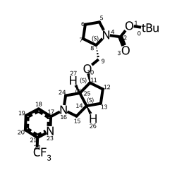 CC(C)(C)OC(=O)N1CCC[C@H]1CO[C@H]1CC[C@@H]2CN(c3cccc(C(F)(F)F)n3)C[C@@H]21